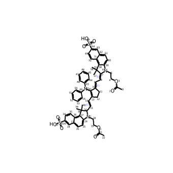 CC(=O)OCCN1/C(=C/C=C2\CCC(/C=C/C3N(CCOC(C)=O)c4ccc5cc(S(=O)(=O)O)ccc5c4C3(C)C)=C2N(c2ccccc2)c2ccccc2)C(C)(C)c2c1ccc1cc(S(=O)(=O)O)ccc21